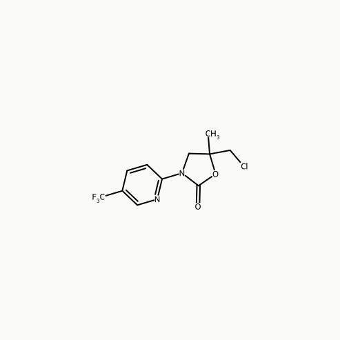 CC1(CCl)CN(c2ccc(C(F)(F)F)cn2)C(=O)O1